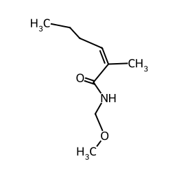 CCCC=C(C)C(=O)NCOC